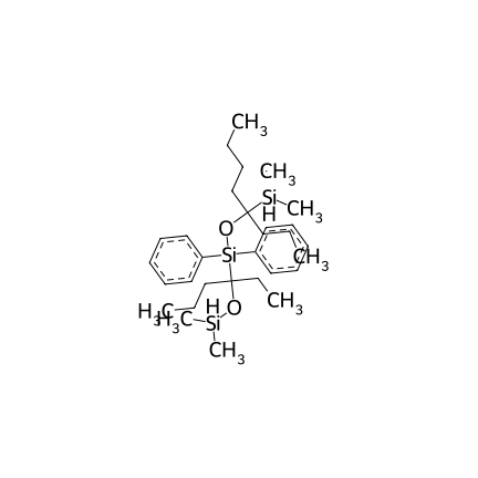 CCCCC(CCC)(O[Si](c1ccccc1)(c1ccccc1)C(CC)(CCC)O[SiH](C)C)[SiH](C)C